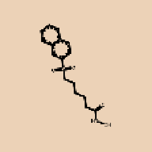 O=C(CCCCCS(=O)(=O)c1ccc2ccccc2c1)NO